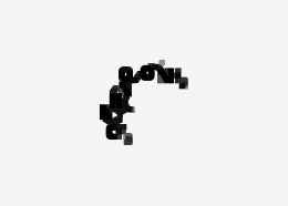 Cc1c2n(c3ncc(C(F)(F)F)cc13)CCN(C(=O)CCOC[C@H](C)N)C2